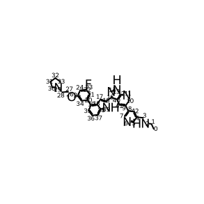 CCNCc1cncc(-c2cnc3[nH]nc(-c4cc5c(-c6cc(F)cc(OCCN7CCCC7)c6)cccc5[nH]4)c3c2)c1